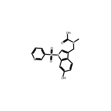 CN(Cc1cn(S(=O)(=O)c2cccnc2)c2cc(O)ccc12)C(=O)O